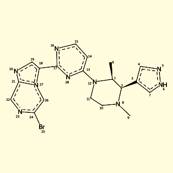 C[C@H]1[C@@H](c2cn[nH]c2)N(C)CCN1c1ccnc(-c2cnc3cnc(Br)cn23)n1